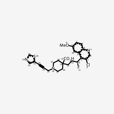 COc1ccc2ncc(Cl)c([C@@H](F)CCC3(C(=O)O)CCN(CC#Cc4cncs4)CC3)c2c1